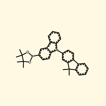 CC1(C)c2ccccc2-c2ccc(-n3c4ccccc4c4cc(B5OC(C)(C)C(C)(C)O5)ccc43)cc21